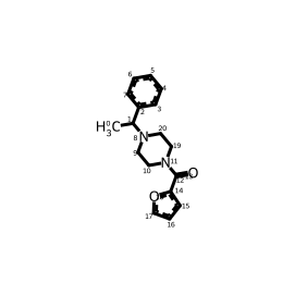 CC(c1ccccc1)N1CCN(C(=O)c2ccco2)CC1